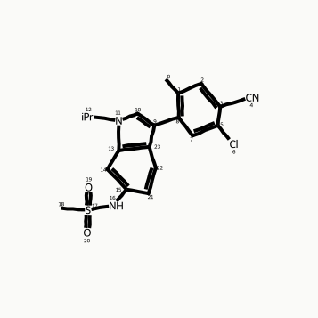 Cc1cc(C#N)c(Cl)cc1-c1cn(C(C)C)c2cc(NS(C)(=O)=O)ccc12